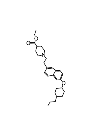 CCCC1CCC(Oc2ccc3cc(CCN4CCC(C(=O)OCC)CC4)ccc3c2)CC1